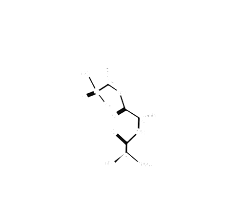 CCC[C@H](NC)C(=O)N[C@@H](CCC)C(=O)N[C@@H](C)P(=O)(O)O